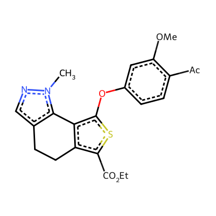 CCOC(=O)c1sc(Oc2ccc(C(C)=O)c(OC)c2)c2c1CCc1cnn(C)c1-2